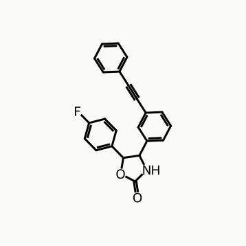 O=C1NC(c2cccc(C#Cc3ccccc3)c2)C(c2ccc(F)cc2)O1